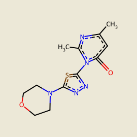 Cc1cc(=O)n(-c2nnc(N3CCOCC3)s2)c(C)n1